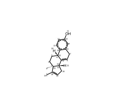 C[C@]12CC[C@H]3C(=CCc4cc(O)ccc43)[C@@H]1CC=C2I